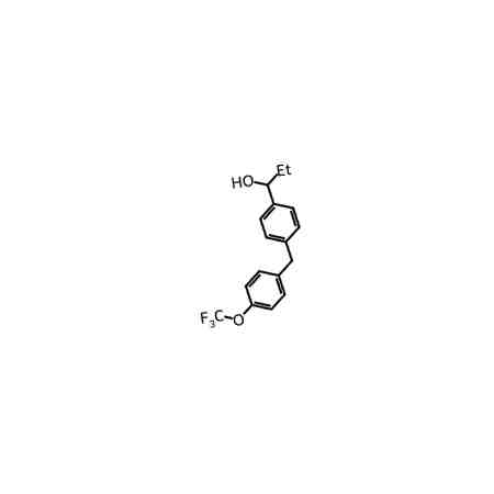 CCC(O)c1ccc(Cc2ccc(OC(F)(F)F)cc2)cc1